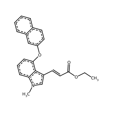 CCOC(=O)C=Cc1cn(C)c2cccc(Oc3ccc4ccccc4c3)c12